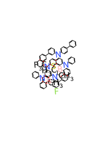 CB1c2ccccc2N(c2ccccc2)c2cc(N(c3ccccc3)c3ccccc3)cc(N(c3c(-c4ccccc4)cc(F)cc3-c3ccccc3)C(C)[C@@H](C)B3c4ccccc4N(c4ccccc4)c4cc(N(c5ccc(-c6ccccc6)cc5)c5cccc(-c6ccccc6)c5)cc(SCCC(F)(F)F)c43)c21